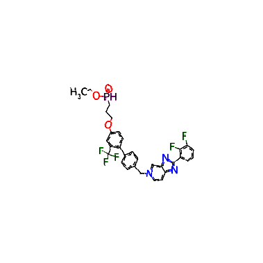 CCO[PH](=O)CCCOc1ccc(-c2ccc(Cn3ccc4nc(-c5cccc(F)c5F)nc-4c3)cc2)c(C(F)(F)F)c1